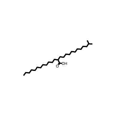 CCCCCCCCCCCCC(CCCCCCCCCCC(C)C)C(=O)O